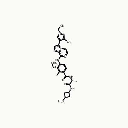 Cc1cc(Nc2nccn3c(-c4cn(CC#N)nc4C(F)(F)F)cnc23)ccc1C(=O)N[C@H](C)C(=O)NC1CC(N)C1.O=CO